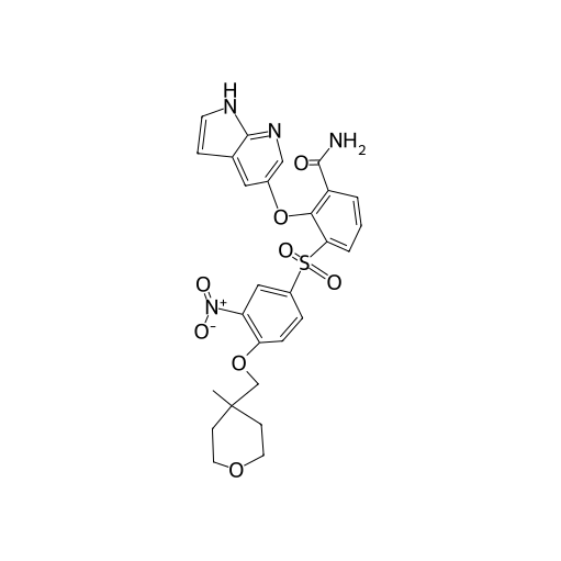 CC1(COc2ccc(S(=O)(=O)c3cccc(C(N)=O)c3Oc3cnc4[nH]ccc4c3)cc2[N+](=O)[O-])CCOCC1